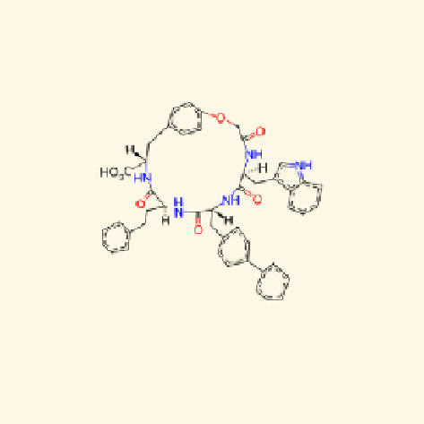 O=C1COc2ccc(cc2)C[C@@H](C(=O)O)NC(=O)[C@H](CCc2ccccc2)NC(=O)[C@@H](Cc2ccc(-c3ccccc3)cc2)NC(=O)[C@H](Cc2c[nH]c3ccccc23)N1